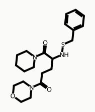 O=C(CCC(NSCc1ccccc1)C(=O)N1CCCCC1)N1CCOCC1